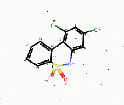 O=S1(=O)Nc2cc(Cl)cc(Cl)c2-c2ccccc21